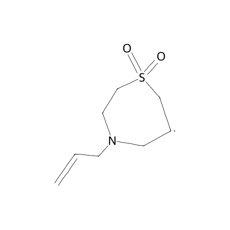 C=CCN1C[CH]CS(=O)(=O)CC1